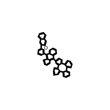 c1ccc2c(c1)-c1ccccc1-c1ccc(-c3c4ccccc4c(-c4cccc5c4oc4cc6ccccc6cc45)c4ccccc34)cc1-c1ccccc1-2